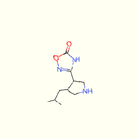 CC(C)CC1CNCC1c1noc(=O)[nH]1